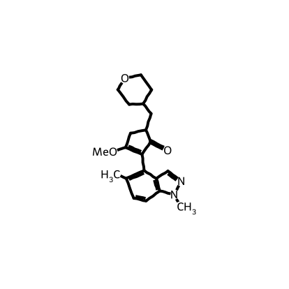 COC1=C(c2c(C)ccc3c2cnn3C)C(=O)C(CC2CCOCC2)C1